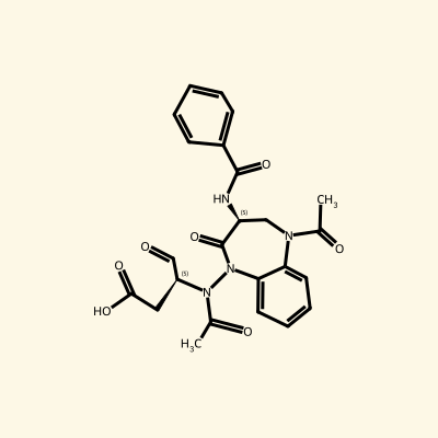 CC(=O)N1C[C@H](NC(=O)c2ccccc2)C(=O)N(N(C(C)=O)[C@H](C=O)CC(=O)O)c2ccccc21